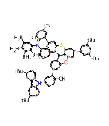 Bc1c(B)c(B)c(N(c2ccccc2)c2ccc(C#N)cc2-c2ccc3c(c2)Sc2cc(-c4cc(C(C)(C)C)cc(C(C)(C)C)c4)cc4c2B3c2ccc(-c3cc(-n5c6ccc(C(C)(C)C)cc6c6cc(C(C)(C)C)ccc65)ccc3C#N)cc2O4)c(B)c1B